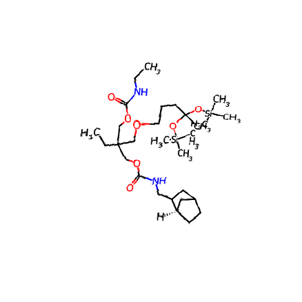 CCNC(=O)OCC(CC)(COCCCC(C)(O[Si](C)(C)C)O[Si](C)(C)C)COC(=O)NCC1CC2CC[C@@H]1C2